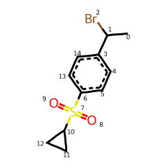 CC(Br)c1ccc(S(=O)(=O)C2CC2)cc1